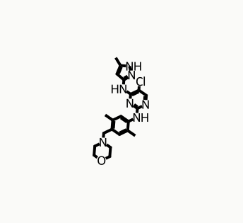 Cc1cc(Nc2nc(Nc3cc(C)c(CN4CCOCC4)cc3C)ncc2Cl)n[nH]1